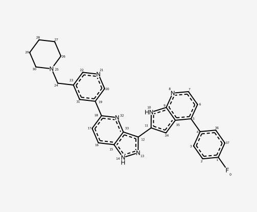 Fc1ccc(-c2ccnc3[nH]c(-c4n[nH]c5ccc(-c6cncc(CN7CCCCC7)c6)nc45)cc23)cc1